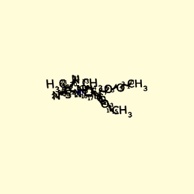 CCCOCCOCCN(CCOCCC)c1ccc(/N=N/c2sc(C#N)c(C)c2C#N)c(C)c1